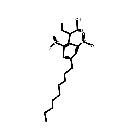 CCCCCCCCCc1cc([N+](=O)[O-])c(C(CC)C(=O)O)c([N+](=O)[O-])c1